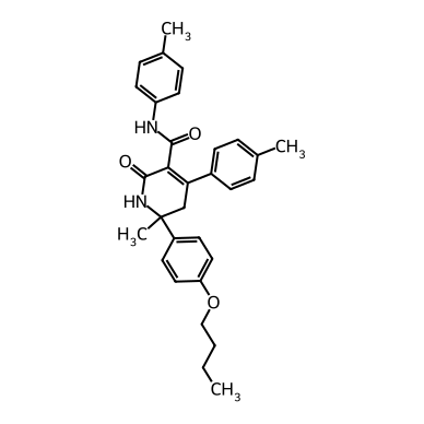 CCCCOc1ccc(C2(C)CC(c3ccc(C)cc3)=C(C(=O)Nc3ccc(C)cc3)C(=O)N2)cc1